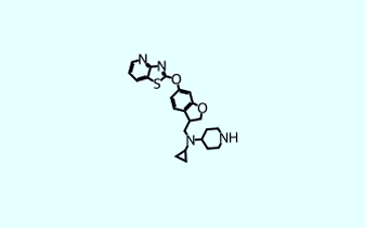 c1cnc2nc(Oc3ccc4c(c3)OCC4CN(C3CCNCC3)C3CC3)sc2c1